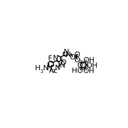 CC(=O)c1cc(-c2ncc(-c3cnn(COC(=O)OC[C@H]4OC(O)[C@H](O)[C@@H](O)[C@@H]4O)c3)c3onc(N)c23)c(F)cc1N